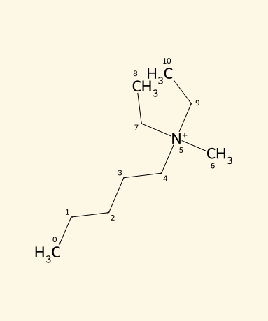 CCCCC[N+](C)(CC)CC